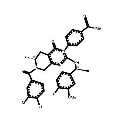 CNC(=O)c1ccc(-n2c(N[C@@H](C)c3ccc(F)c(OC)c3)nc3c(c2=O)C[C@@H](C)N(C(=O)c2ccc(Cl)c(Cl)c2)C3)cc1